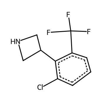 FC(F)(F)c1cccc(Cl)c1C1CNC1